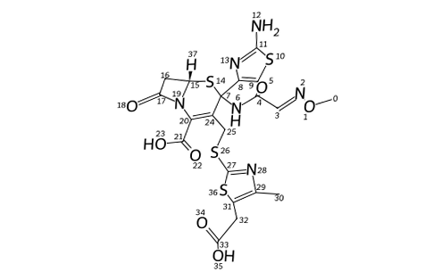 CON=CC(=O)NC1(c2csc(N)n2)S[C@H]2CC(=O)N2C(C(=O)O)=C1CSc1nc(C)c(CC(=O)O)s1